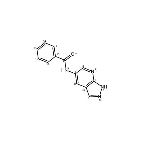 O=C(Nc1cnc2[nH]ncc2c1)c1ccccc1